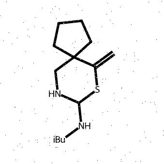 C=C1SC(NC(C)CC)NCC12CCCC2